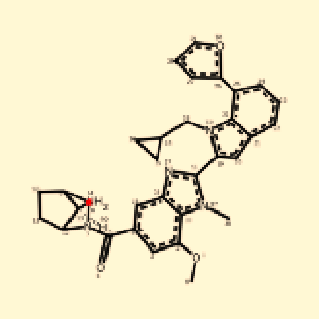 COc1cc(C(=O)N2CC3CCC2[C@@H]3N)cc2nc(-c3cc4cccc(-c5ccco5)c4n3CC3CC3)n(C)c12